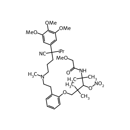 COCC(=O)NC(C)(C)C(O[N+](=O)[O-])C(C)(C)COc1ccccc1CCN(C)CCCC(C#N)(c1cc(OC)c(OC)c(OC)c1)C(C)C